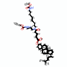 CCC(CCC(C)[C@H]1CC[C@H]2[C@@H]3CC=C4C[C@@H](OC(=O)CCCC(=O)N(CCCCCCCCNC(=O)OC(C)(C)C)CCCNC(=O)OC(C)(C)C)CC[C@]4(C)[C@H]3CC[C@]12C)C(C)C